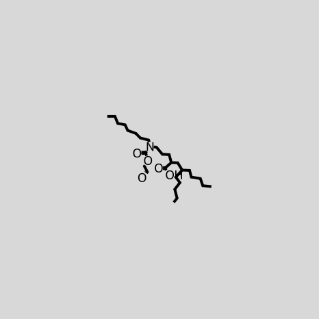 CCCCCCCCN(CCCC(CC(CCCCC)CCCCC)C(=O)O)C(=O)OCC=O